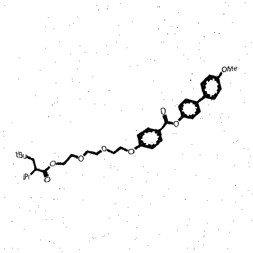 COc1ccc(-c2ccc(OC(=O)c3ccc(OCCOCCOCCOC(=O)C(CC(C)(C)C)C(C)C)cc3)cc2)cc1